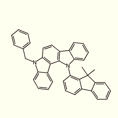 CC1(C)c2ccccc2-c2cccc(-n3c4ccccc4c4ccc5c(c6ccccc6n5Cc5ccccc5)c43)c21